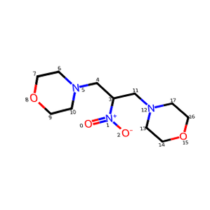 O=[N+]([O-])C(CN1CCOCC1)CN1CCOCC1